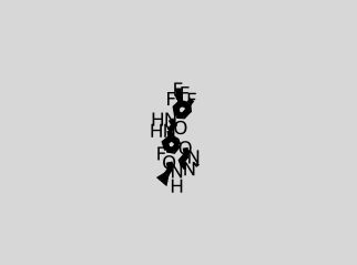 O=C(Nc1cc(F)cc(Oc2cc(NC(=O)C3CC3)ncn2)c1)Nc1ccc(F)c(C(F)(F)F)c1